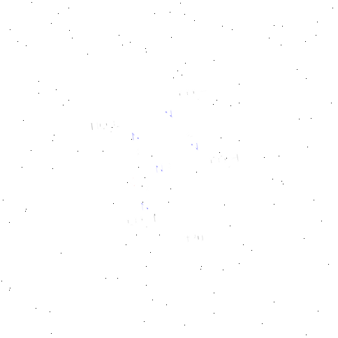 CC(C)(C)c1ccc(N(CC(=O)O)C(=O)CN2CCN(CC(=O)O)CCN(CC(=O)O)CCN(CC(=O)O)CC2)cc1